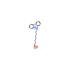 BrCCCCCCCCn1c2ccccc2c2ccccc21